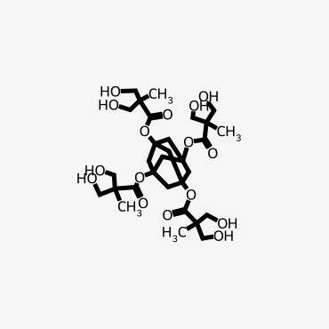 CC(CO)(CO)C(=O)OC12CC3(OC(=O)C(C)(CO)CO)CC(OC(=O)C(C)(CO)CO)(C1)CC(OC(=O)C(C)(CO)CO)(C2)C3